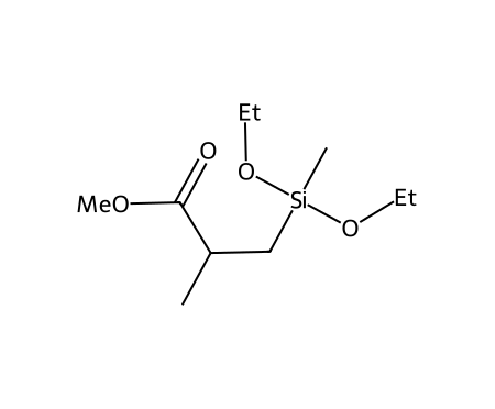 CCO[Si](C)(CC(C)C(=O)OC)OCC